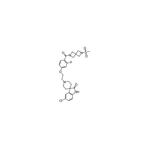 CS(=O)(=O)N1CC2(CN(C(=O)c3ccc(OCCN4CCC5(CC4)C(=O)Nc4ccc(Cl)cc45)cc3F)C2)C1